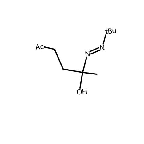 CC(=O)CCC(C)(O)N=NC(C)(C)C